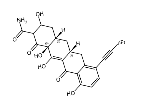 CCCC#Cc1ccc(O)c2c1C[C@H]1C[C@H]3CC(O)C(C(N)=O)C(=O)[C@@]3(O)C(O)=C1C2=O